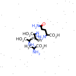 CC(C)C(N)C(=O)O.CC(C)CC(N)C(=O)O.CC(N)C(=O)O.NC(=O)CCC(N)C(=O)O